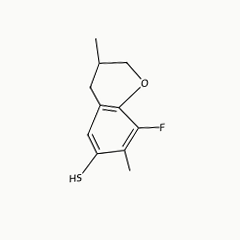 Cc1c(S)cc2c(c1F)OCC(C)C2